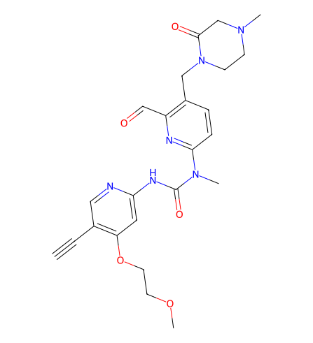 C#Cc1cnc(NC(=O)N(C)c2ccc(CN3CCN(C)CC3=O)c(C=O)n2)cc1OCCOC